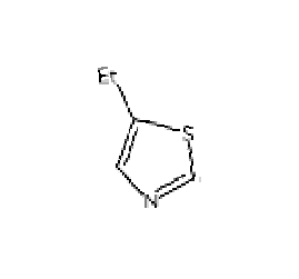 CCc1cn[c]s1